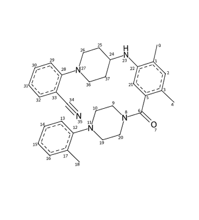 Cc1cc(C)c(C(=O)N2CCN(c3ccccc3C)CC2)cc1NC1CCN(c2ccccc2C#N)CC1